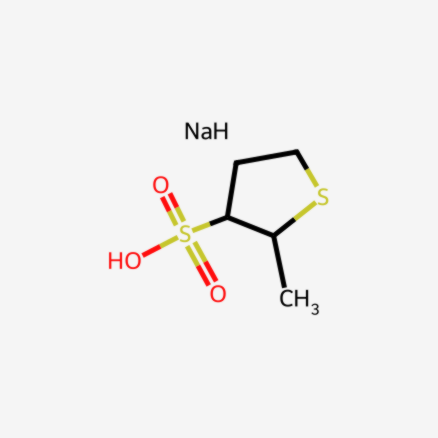 CC1SCCC1S(=O)(=O)O.[NaH]